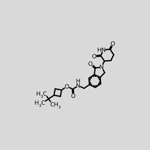 CC(C)(C)C1CC(OC(=O)NCc2ccc3c(c2)C(=O)N(C2CCC(=O)NC2=O)C3)C1